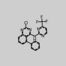 FC(F)(F)c1ccnc(Nc2nc(Cl)nc3cccc(-c4ccccc4)c23)n1